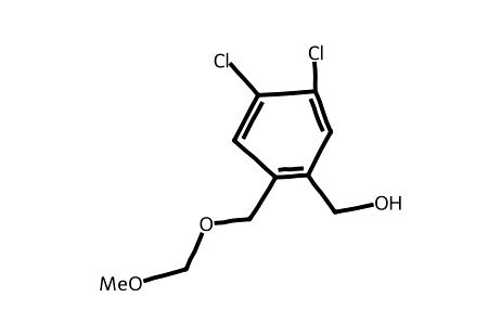 COCOCc1cc(Cl)c(Cl)cc1CO